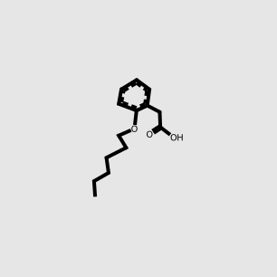 CCCCCCOc1ccccc1CC(=O)O